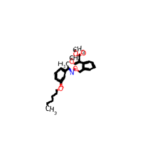 CCCCCCOc1cccc(/C(C)=N/OCc2ccccc2/C(=C/OC)C(=O)OC)c1